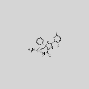 Cc1ccc(F)c(C2=NN(C(=O)N(C)O)C(CCCN)(c3ccccc3)S2)c1